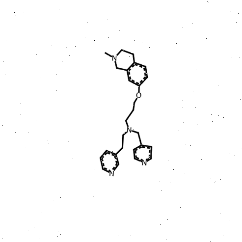 CN1CCc2ccc(OCCCN(CCc3cccnc3)Cc3ccncc3)cc2C1